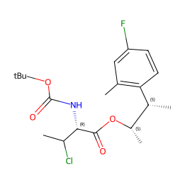 Cc1cc(F)ccc1[C@H](C)[C@H](C)OC(=O)[C@@H](NC(=O)OC(C)(C)C)C(C)Cl